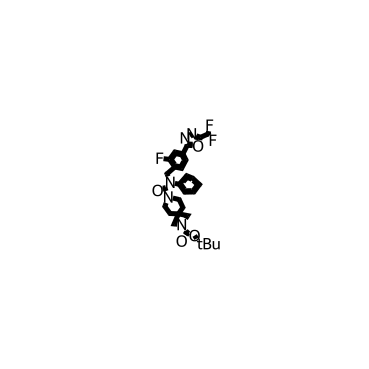 CC(C)(C)OC(=O)N1CC2(CCN(C(=O)N(Cc3ccc(-c4nnc(C(F)F)o4)cc3F)c3ccccc3)CC2)C1